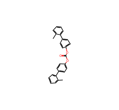 Cc1ccccc1-c1ccc(OC(=O)Oc2ccc(-c3ccccc3C)cc2)cc1